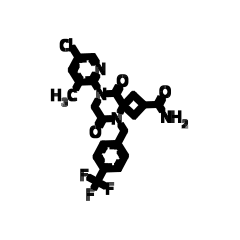 Cc1cc(Cl)cnc1N1CC(=O)N(Cc2ccc(C(F)(F)F)cc2)C2(CC(C(N)=O)C2)C1=O